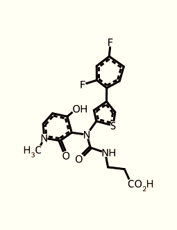 Cn1ccc(O)c(N(C(=O)NCCC(=O)O)c2cc(-c3ccc(F)cc3F)cs2)c1=O